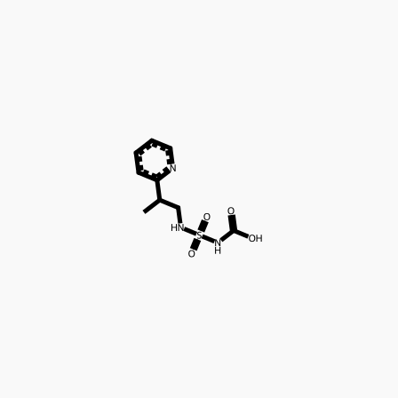 CC(CNS(=O)(=O)NC(=O)O)c1ccccn1